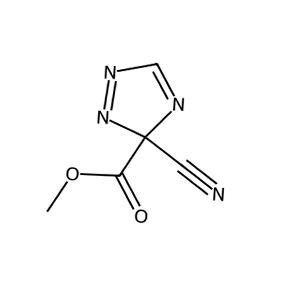 COC(=O)C1(C#N)N=CN=N1